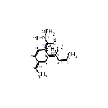 C\C=C/C(C)=C1\C/C(=C\C)C=C\C1=C(\C)N(P)I